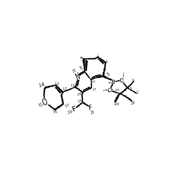 CC1(C)OB(c2cccc3nc(C4=CCOCC4)c(C(F)F)cc23)OC1(C)C